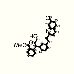 COC(=O)c1ccccc1C(CCO)c1cccc(/C=C/c2ccc3ccc(Cl)cc3n2)c1